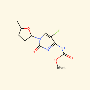 CCCCCOC(=O)Nc1nc(=O)n(C2CCC(C)O2)cc1F